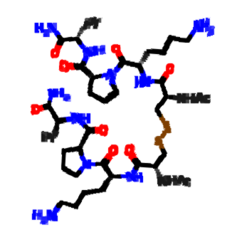 CC(=O)N[C@@H](CSSC[C@H](NC(C)=O)C(=O)N[C@@H](CCCCN)C(=O)N1CCC[C@H]1C(=O)N[C@H](C(N)=O)C(C)C)C(=O)N[C@@H](CCCCN)C(=O)N1CCC[C@H]1C(=O)N[C@H](C(N)=O)C(C)C